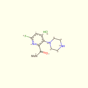 CNC(=O)c1nc(F)ccc1N1CCNCC1.Cl